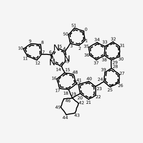 c1ccc(-c2nc(-c3ccccc3)nc(-c3ccc(C4(c5ccc(-c6cccc(-c7cccc8ccccc78)c6)cc5)CCCCC4)cc3)n2)cc1